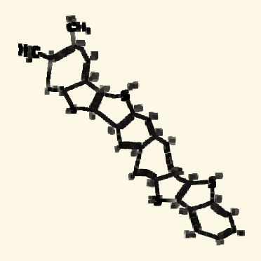 Cc1cc2sc3c4cc5cc6sc7c8ccccc8sc7c6cc5cc4sc3c2cc1C